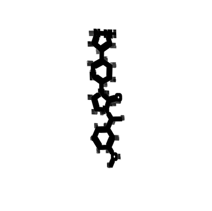 COc1cccc(C(C)n2ccn(-c3ccc(-c4cn[nH]c4)cn3)c2=O)c1